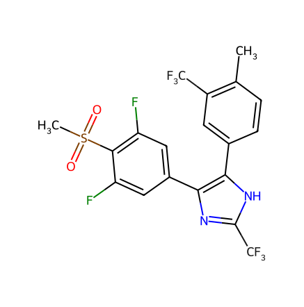 Cc1ccc(-c2[nH]c(C(F)(F)F)nc2-c2cc(F)c(S(C)(=O)=O)c(F)c2)cc1C(F)(F)F